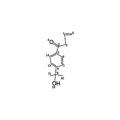 C=CCC(=O)c1ccc(C(C)(C)O)cc1